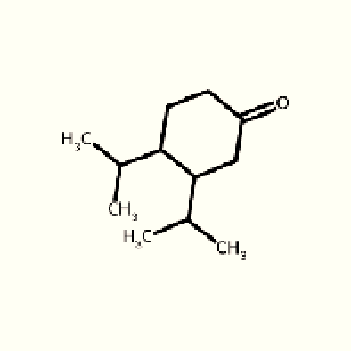 CC(C)C1CCC(=O)CC1C(C)C